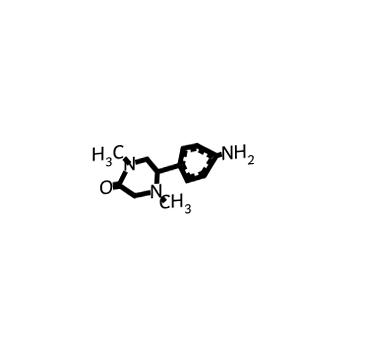 CN1CC(c2ccc(N)cc2)N(C)CC1=O